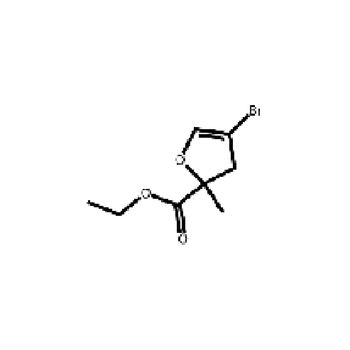 CCOC(=O)C1(C)CC(Br)=CO1